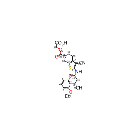 CCOc1ccccc1[C@@H](C)CC(=O)Nc1sc2c(c1C#N)CCN(C(=O)OCC(=O)O)C2